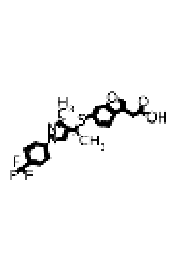 Cc1nn(-c2ccc(C(F)(F)F)cc2)cc1[C@H](C)Sc1ccc2c(CC(=O)O)coc2c1